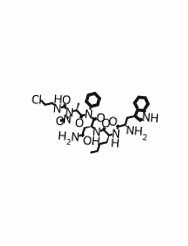 CCCC[C@H](NC(=O)[C@@H](N)Cc1c[nH]c2ccccc12)C(=O)N[C@@H](CC(N)=O)C(=O)N(C(=O)[C@H](C)N(N=O)C(=O)NCCCl)c1ccccc1